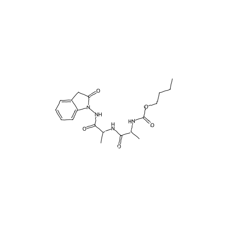 CCCCOC(=O)NC(C)C(=O)NC(C)C(=O)NN1C(=O)Cc2ccccc21